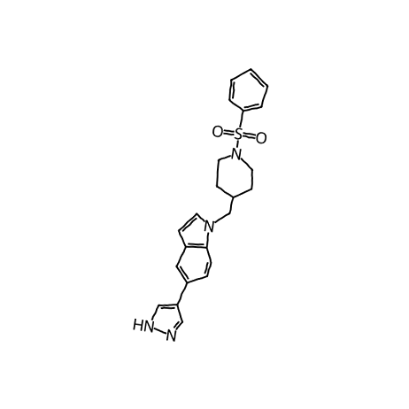 O=S(=O)(c1ccccc1)N1CCC(Cn2ccc3cc(-c4cn[nH]c4)ccc32)CC1